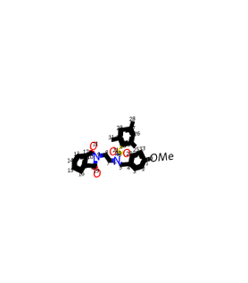 COc1ccc(CN(CCN2C(=O)c3ccccc3C2=O)S(=O)(=O)c2c(C)cc(C)cc2C)cc1